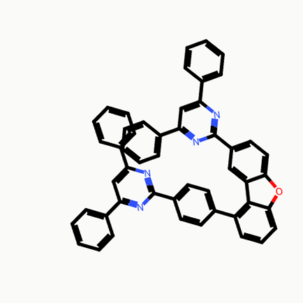 c1ccc(-c2cc(-c3ccccc3)nc(-c3ccc(-c4cccc5oc6ccc(-c7nc(-c8ccccc8)cc(-c8ccccc8)n7)cc6c45)cc3)n2)cc1